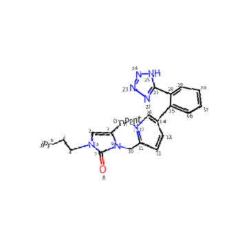 CCCCCc1cn(CCC(C)C)c(=O)n1Cc1ccc(-c2ccccc2-c2nnn[nH]2)cn1